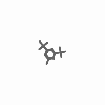 Cc1cc(C(C)(C)F)cc(C(C)(C)C)n1